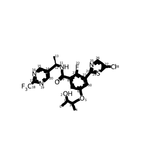 CC(O)C(C)Oc1cc(C(=O)N[C@H](C)c2cnc(C(F)(F)F)nc2)c(F)c(-c2ncc(Cl)s2)c1